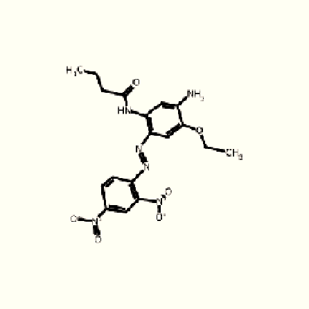 CCCC(=O)Nc1cc(N)c(OCC)cc1N=Nc1ccc([N+](=O)[O-])cc1[N+](=O)[O-]